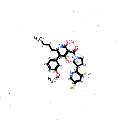 CCCCc1nc(O)c(C(=O)N2CCC(c3ncc(F)cc3F)C2)c(O)c1-c1cccc(OC)c1